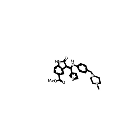 COC(=O)c1ccc2c(c1)/C(=C(/Nc1ccc(CN3CCN(C)CC3)cc1)c1ccsc1)C(=O)N2